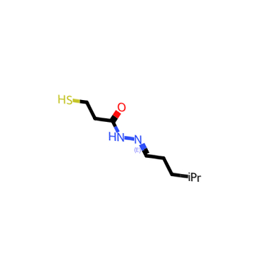 CC(C)CC/C=N/NC(=O)CCS